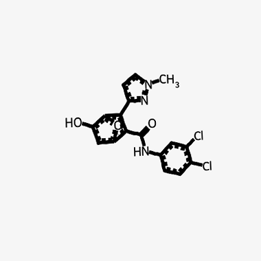 Cn1ccc(-c2c(C(=O)Nc3ccc(Cl)c(Cl)c3)c3cc(O)c2o3)n1